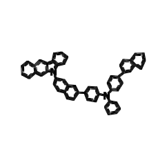 c1ccc(N(c2ccc(-c3ccc4ccccc4c3)cc2)c2ccc(-c3ccc4ccc(-n5c6ccccc6c6cc7ccccc7cc65)cc4c3)cc2)cc1